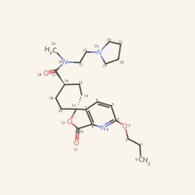 CCCOc1ccc2c(n1)C(=O)O[C@]21CC[C@H](C(=O)N(C)CCN2CCCC2)CC1